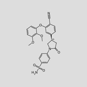 COc1cccc(Oc2cc([C@H]3CC(=O)N(c4ccc(S(N)(=O)=O)cc4)C3)ccc2C#N)c1OC